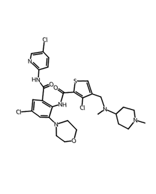 CN1CCC(N(C)Cc2csc(C(=O)Nc3c(C(=O)Nc4ccc(Cl)cn4)cc(Cl)cc3N3CCOCC3)c2Cl)CC1